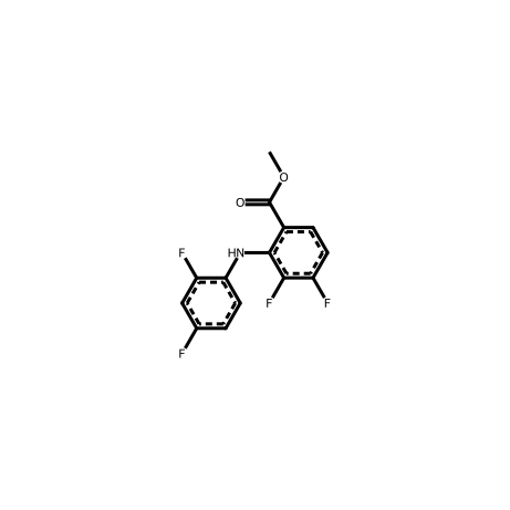 COC(=O)c1ccc(F)c(F)c1Nc1ccc(F)cc1F